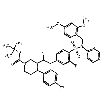 COc1ccc(CN(c2ccncn2)S(=O)(=O)c2ccc(CC(F)C3CN(C(=O)OC(C)(C)C)CCC3c3ccc(Cl)cc3)cc2F)c(OC)c1